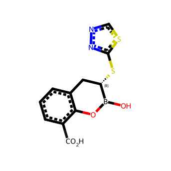 O=C(O)c1cccc2c1OB(O)[C@@H](Sc1nncs1)C2